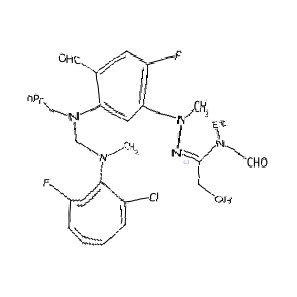 CCCN(CN(C)c1c(F)cccc1Cl)c1cc(N(C)/N=C(/CO)N(C=O)CC)c(F)cc1C=O